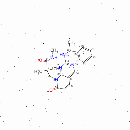 CNC(=O)C(C)(C)Cn1c(=O)ccc2cnc(NC(C)c3ccccc3)nc21